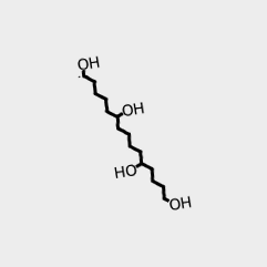 O[CH]CCCCC(O)CCCCC(O)CCCCO